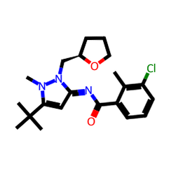 Cc1c(Cl)cccc1C(=O)N=c1cc(C(C)(C)C)n(C)n1C[C@H]1CCCO1